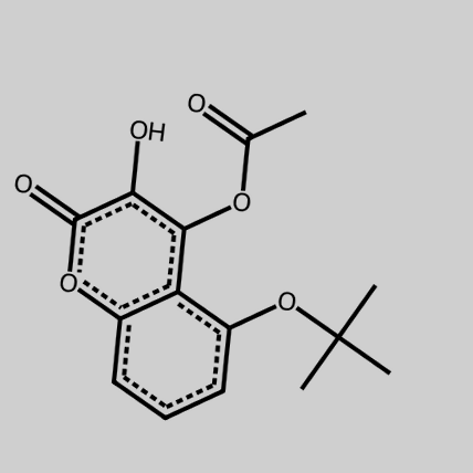 CC(=O)Oc1c(O)c(=O)oc2cccc(OC(C)(C)C)c12